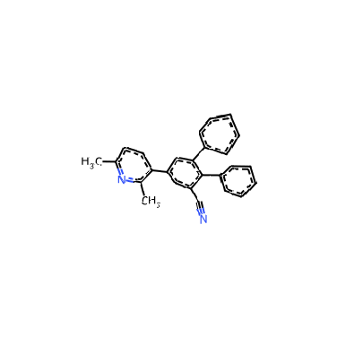 Cc1ccc(-c2cc(C#N)c(-c3ccccc3)c(-c3ccccc3)c2)c(C)n1